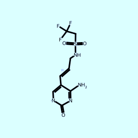 NC1=NC(=O)[N]C=C1/C=C/CNS(=O)(=O)CC(F)(F)F